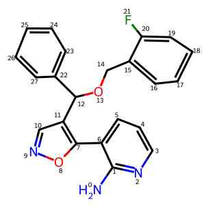 Nc1ncccc1-c1oncc1C(OCc1ccccc1F)c1ccccc1